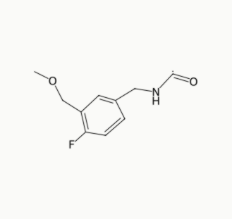 COCc1cc(CN[C]=O)ccc1F